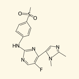 Cc1ncc(-c2nc(Nc3ccc(S(C)(=O)=O)cc3)ncc2F)n1C